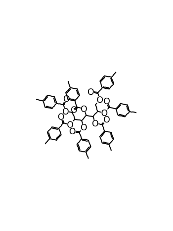 Cc1ccc(C(=O)OCC(OC(=O)c2ccc(C)cc2)C(OC(=O)c2ccc(C)cc2)C(OC(=O)c2ccc(C)cc2)C(OC(=O)c2ccc(C)cc2)C(COC(=O)c2ccc(C)cc2)OC(=O)c2ccc(C)cc2)cc1